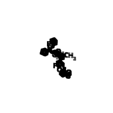 Cc1cc(-c2cc(F)c(=O)n(Cc3cccc4c3OCO4)c2)nc(S(=O)(=O)CCC(OCc2ccccc2F)c2ccccc2)n1